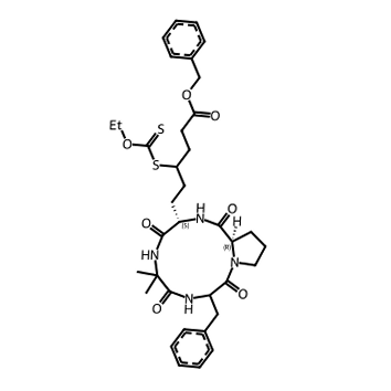 CCOC(=S)SC(CCC(=O)OCc1ccccc1)CC[C@@H]1NC(=O)[C@H]2CCCN2C(=O)C(Cc2ccccc2)NC(=O)C(C)(C)NC1=O